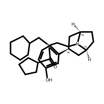 O=C(C1CCCC1)N(CCN1[C@@H]2CC[C@H]1C[C@@H](c1cccc(O)c1)C2)CC1CCCCC1